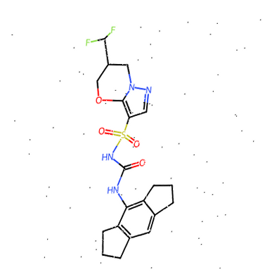 O=C(Nc1c2c(cc3c1CCC3)CCC2)NS(=O)(=O)c1cnn2c1OCC(C(F)F)C2